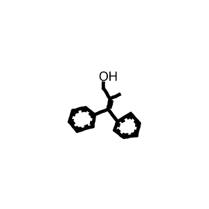 CC(CO)=C(c1ccccc1)c1ccccc1